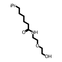 CC(C)CCCCCC(=O)NCCOCCO